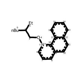 CCCCC(CC)CO[n+]1cccc2ccc3ccccc3c21